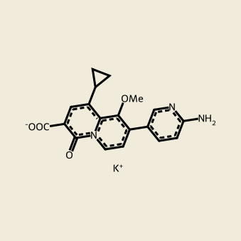 COc1c(-c2ccc(N)nc2)ccn2c(=O)c(C(=O)[O-])cc(C3CC3)c12.[K+]